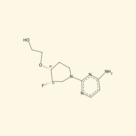 Nc1ccnc(N2CC[C@@H](OCCO)[C@@H](F)C2)n1